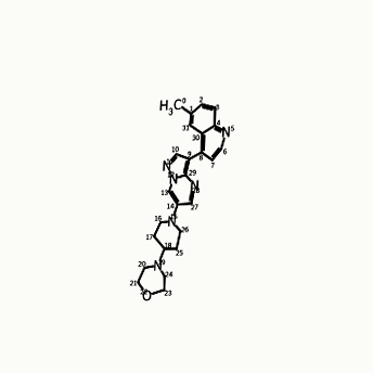 Cc1ccc2nccc(-c3cnn4cc(N5CCC(N6CCOCC6)CC5)cnc34)c2c1